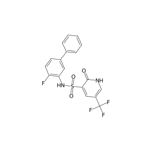 O=c1[nH]cc(C(F)(F)F)cc1S(=O)(=O)Nc1cc(-c2ccccc2)ccc1F